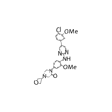 COc1cc(-c2cnc(Nc3ccc(N4CCN(C5COC5)CC4=O)cc3OC)nc2)ccc1Cl